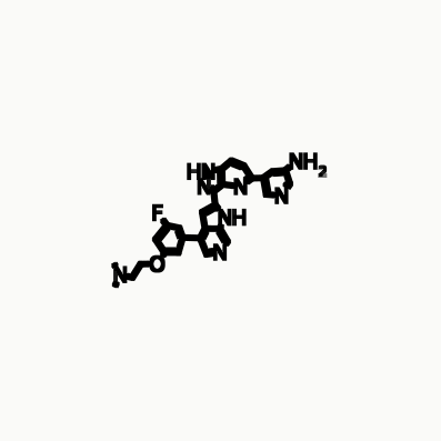 CN(C)CCOc1cc(F)cc(-c2cncc3[nH]c(-c4n[nH]c5ccc(-c6cncc(N)c6)nc45)cc23)c1